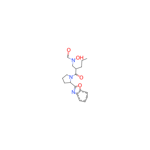 CCCC(CN(O)C=O)C(=O)N1CCCC1c1nc2ccccc2o1